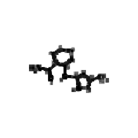 NC(=O)c1ccccc1Oc1cc(C(F)(F)F)cs1